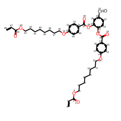 C=CC(=O)OCCCCCCCCOc1ccc(C(=O)Oc2ccc(C=O)cc2OC(=O)c2ccc(OCCCCCCCCOC(=O)C=C)cc2)cc1